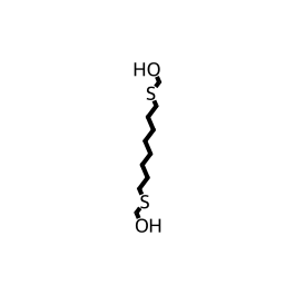 OCSCCCCCCCCSCO